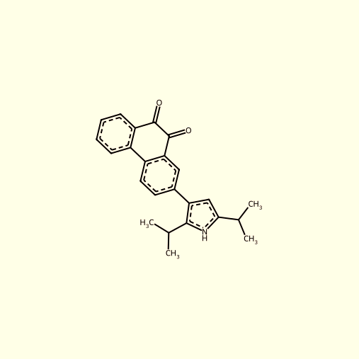 CC(C)c1cc(-c2ccc3c(c2)C(=O)C(=O)c2ccccc2-3)c(C(C)C)[nH]1